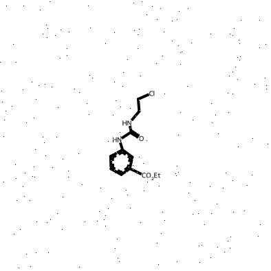 CCOC(=O)c1cccc(NC(=O)NCCCl)c1